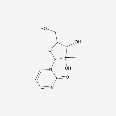 CC1(O)C(O)C(CO)OC1n1cccnc1=O